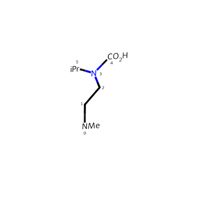 CNCCN(C(=O)O)C(C)C